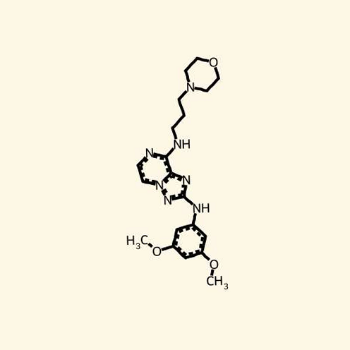 COc1cc(Nc2nc3c(NCCCN4CCOCC4)nccn3n2)cc(OC)c1